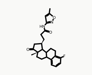 Cc1cc(NC(=O)CC[C@@H]2CC(=O)[C@@]3(C)CCC4c5cccc(F)c5CCC4C23)no1